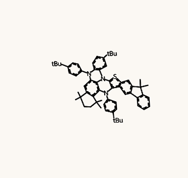 CC(C)(C)c1ccc(N2c3ccc(C(C)(C)C)cc3N3c4sc5cc6c(cc5c4N(c4ccc(C(C)(C)C)cc4)c4c3c2cc2c4C(C)(C)CCC2(C)C)-c2ccccc2C6(C)C)cc1